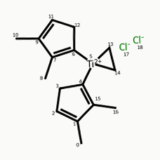 CC1=CC[C]([Ti+2]2([C]3=C(C)C(C)=CC3)[CH2][CH2]2)=C1C.[Cl-].[Cl-]